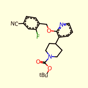 CC(C)(C)OC(=O)N1CCC(c2cccnc2OCc2ccc(C#N)cc2F)CC1